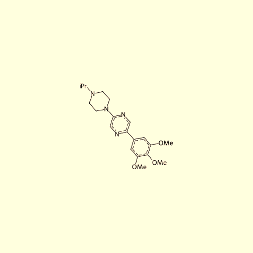 COc1cc(-c2cnc(N3CCN(C(C)C)CC3)cn2)cc(OC)c1OC